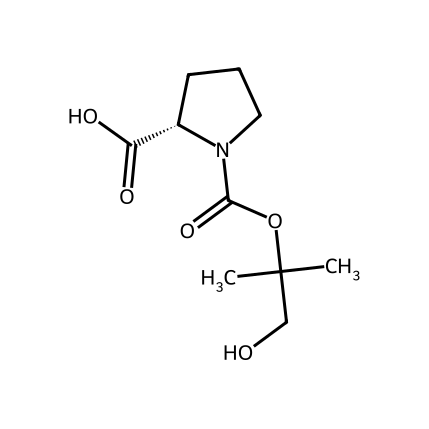 CC(C)(CO)OC(=O)N1CCC[C@H]1C(=O)O